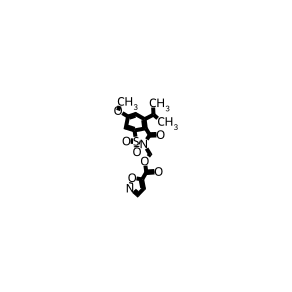 COc1cc(C(C)C)c2c(c1)S(=O)(=O)N(COC(=O)c1ccno1)C2=O